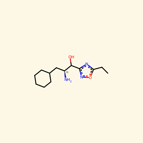 CCc1nc(C(O)[C@@H](N)CC2CCCCC2)no1